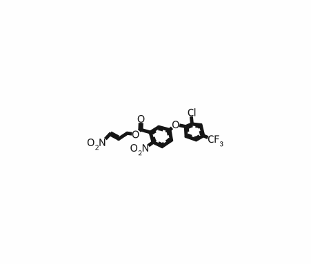 O=C(OCC=C[N+](=O)[O-])c1cc(Oc2ccc(C(F)(F)F)cc2Cl)ccc1[N+](=O)[O-]